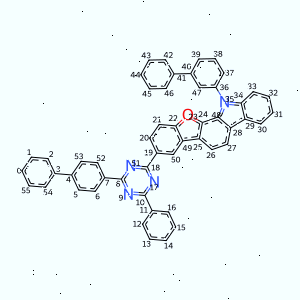 c1ccc(-c2ccc(-c3nc(-c4ccccc4)nc(-c4ccc5oc6c(ccc7c8ccccc8n(-c8cccc(-c9ccccc9)c8)c76)c5c4)n3)cc2)cc1